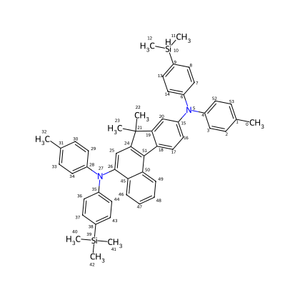 Cc1ccc(N(c2ccc([SiH](C)C)cc2)c2ccc3c(c2)C(C)(C)c2cc(N(c4ccc(C)cc4)c4ccc([Si](C)(C)C)cc4)c4ccccc4c2-3)cc1